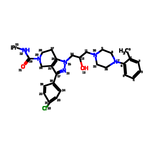 Cc1ccccc1N1CCN(CC(O)Cn2nc(-c3ccc(Cl)cc3)c3c2CCN(C(=O)NC(C)C)C3)CC1